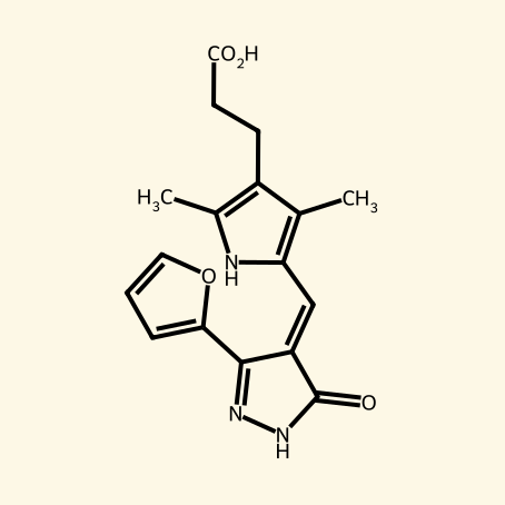 Cc1[nH]c(/C=C2/C(=O)NN=C2c2ccco2)c(C)c1CCC(=O)O